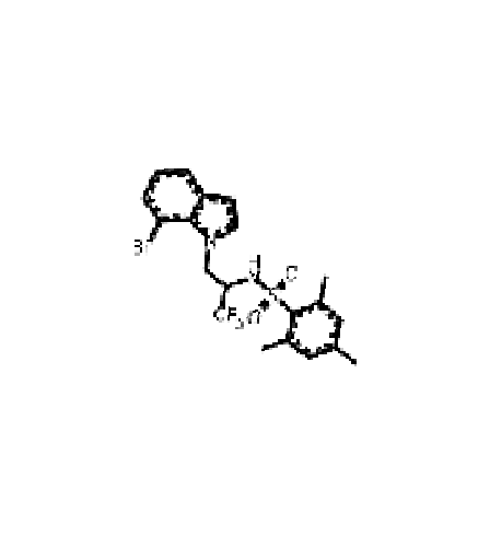 Cc1cc(C)c(S(=O)(=O)NC(Cn2ccc3cccc(Br)c32)C(F)(F)F)c(C)c1